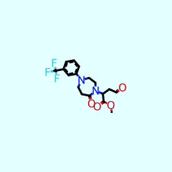 COC(=O)C(CC=O)N1CCN(c2cccc(C(F)(F)F)c2)CCC1=O